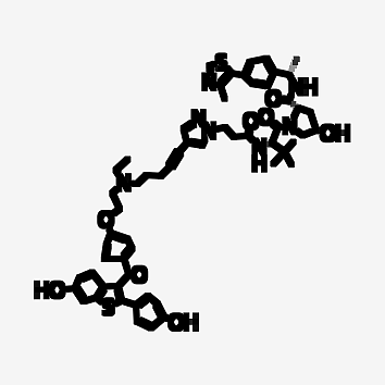 CCN(CCCC#Cc1cnn(CCC(=O)N[C@H](C(=O)N2C[C@H](O)C[C@H]2C(=O)N[C@@H](C)c2ccc(-c3scnc3C)cc2)C(C)(C)C)c1)CCOc1ccc(C(=O)c2c(-c3ccc(O)cc3)sc3cc(O)ccc23)cc1